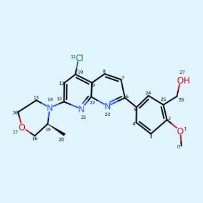 COc1ccc(-c2ccc3c(Cl)cc(N4CCOC[C@@H]4C)nc3n2)cc1CO